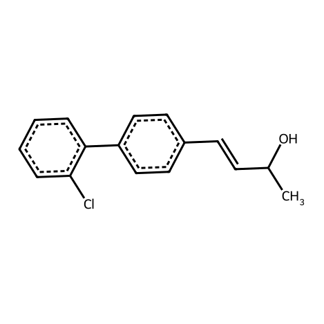 CC(O)C=Cc1ccc(-c2ccccc2Cl)cc1